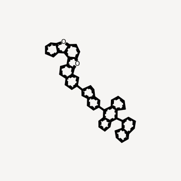 c1ccc2c(-c3c4ccccc4c(-c4ccc5cc(-c6ccc7ccc8c(oc9ccc%10oc%11ccccc%11c%10c98)c7c6)ccc5c4)c4ccccc34)cccc2c1